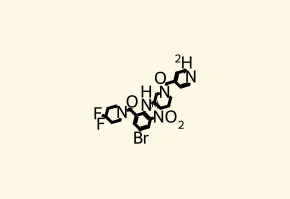 [2H]c1cc(C(=O)N2CCC[C@@H](Nc3c(C(=O)N4CCC(F)(F)CC4)cc(Br)cc3[N+](=O)[O-])C2)ccn1